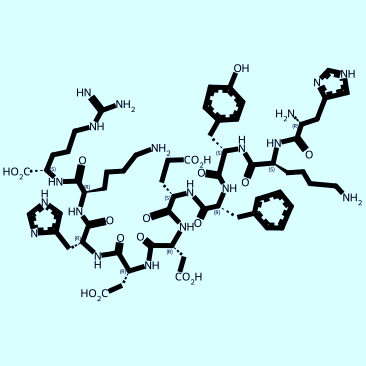 N=C(N)NCCC[C@H](NC(=O)[C@@H](CCCCN)NC(=O)[C@@H](Cc1c[nH]cn1)NC(=O)[C@@H](CC(=O)O)NC(=O)[C@@H](CC(=O)O)NC(=O)[C@H](CCC(=O)O)NC(=O)[C@@H](Cc1ccccc1)NC(=O)[C@H](Cc1ccc(O)cc1)NC(=O)[C@H](CCCCN)NC(=O)[C@H](N)Cc1c[nH]cn1)C(=O)O